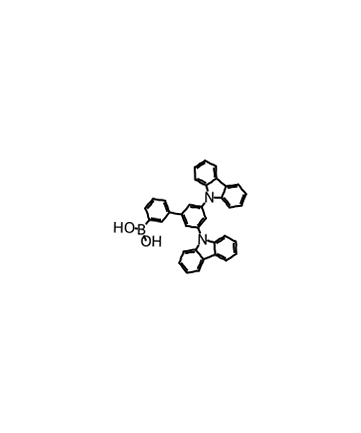 OB(O)c1cccc(-c2cc(-n3c4ccccc4c4ccccc43)cc(-n3c4ccccc4c4ccccc43)c2)c1